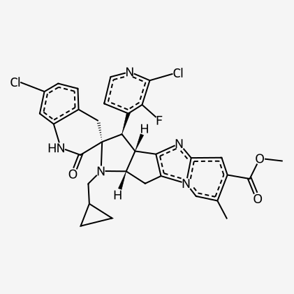 COC(=O)c1cc2nc3c(n2cc1C)C[C@H]1[C@@H]3[C@H](c2ccnc(Cl)c2F)[C@@]2(Cc3ccc(Cl)cc3NC2=O)N1CC1CC1